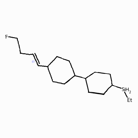 CC[SiH2]C1CCC(C2CCC(/C=C/CCF)CC2)CC1